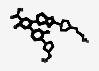 COCCN1CCN(c2nc3ccc(-n4cc(C(=O)O)c(=O)cc4-c4ccc(N5CC[C@@H](OC)C5)c(Br)c4)cc3o2)CC1